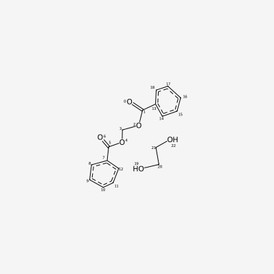 O=C(OCOC(=O)c1ccccc1)c1ccccc1.OCCO